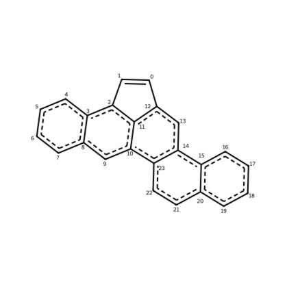 C1=Cc2c3ccccc3cc3c2c1cc1c2ccccc2ccc31